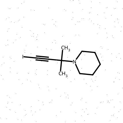 CC(C)(C#CI)N1CCCCC1